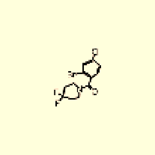 O=C(c1ccc(Cl)cc1Br)N1CCC(F)(F)CC1